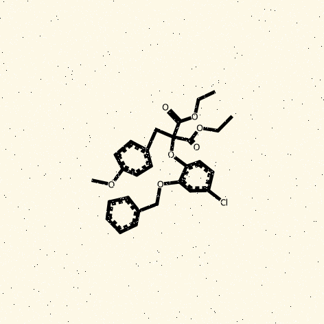 CCOC(=O)C(Cc1ccc(OC)cc1)(Oc1ccc(Cl)cc1OCc1ccccc1)C(=O)OCC